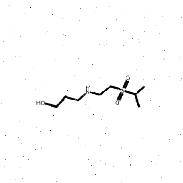 CC(C)S(=O)(=O)CCNCCCO